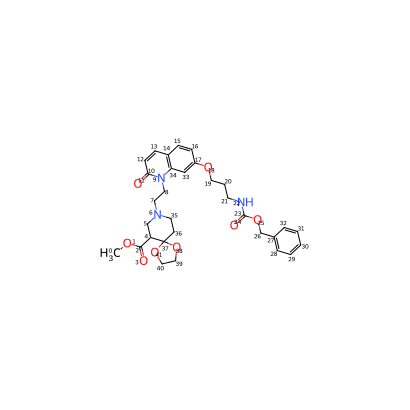 COC(=O)C1CN(CCn2c(=O)ccc3ccc(OCCCNC(=O)OCc4ccccc4)cc32)CCC12OCCO2